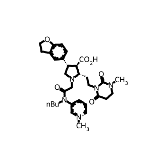 CCCCN(C(=O)CN1C[C@H](c2ccc3c(c2)CCO3)[C@@H](C(=O)O)[C@@H]1CCN1C(=O)CCN(C)C1=O)c1ccc[n+](C)c1